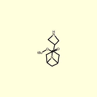 CC(C)(C)OC(=O)N1C2CC1CN(C1CNC1)C2